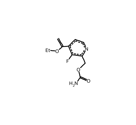 C=C(OCC)c1ccnc(COC(N)=O)c1F